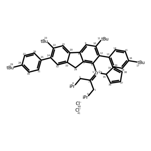 CC(C)C[C](CC(C)C)=[Zr+2]([c]1c2c(cc(C(C)(C)C)c1-c1ccc(C(C)(C)C)cc1)-c1cc(C(C)(C)C)c(-c3ccc(C(C)(C)C)cc3)cc1C2)[CH]1C=CC=C1.[Cl-].[Cl-]